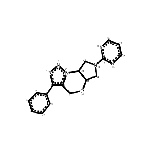 c1ccc(-c2nnn3c2COC2CN(c4ncccn4)CC23)cc1